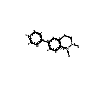 CN1CCc2cc(-c3ccncc3)ccc2N1C